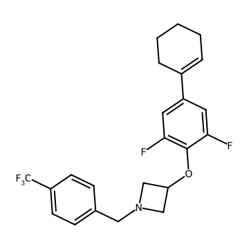 Fc1cc(C2=CCCCC2)cc(F)c1OC1CN(Cc2ccc(C(F)(F)F)cc2)C1